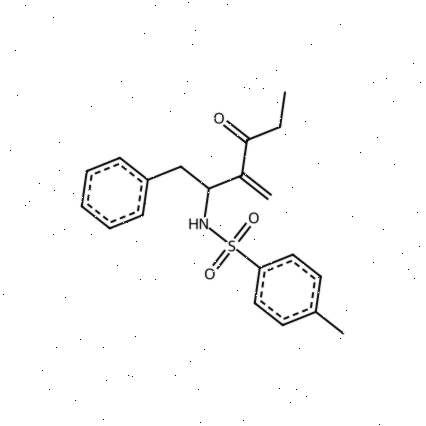 C=C(C(=O)CC)C(Cc1ccccc1)NS(=O)(=O)c1ccc(C)cc1